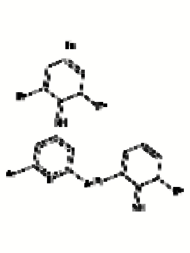 CC(=O)c1cccc(C(C)=O)n1.CC(C)C1=CC=CC(C(C)C)C1=N.CC(C)C1=CC=CC(C(C)C)C1=N.[Fe]